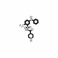 O=C(NS(=O)(=O)c1cc([S+]([O-])c2ccccc2)ccc1C(F)(F)F)C1CCNCC1